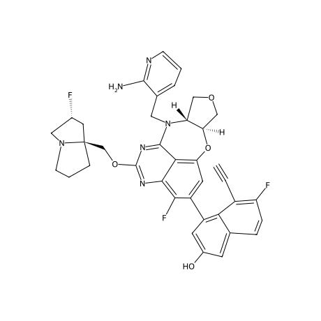 C#Cc1c(F)ccc2cc(O)cc(-c3cc4c5c(nc(OC[C@@]67CCCN6C[C@H](F)C7)nc5c3F)N(Cc3cccnc3N)[C@@H]3COC[C@H]3O4)c12